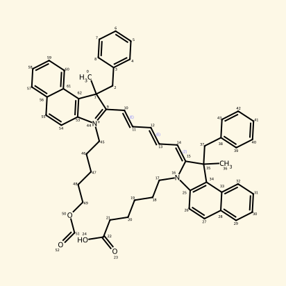 CC1(Cc2ccccc2)C(/C=C/C=C/C=C2\N(CCCCCC(=O)O)c3ccc4ccccc4c3C2(C)Cc2ccccc2)=[N+](CCCCCOC=O)c2ccc3ccccc3c21